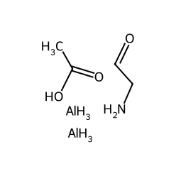 CC(=O)O.NCC=O.[AlH3].[AlH3]